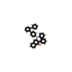 c1ccc(-c2ccccc2-c2ccc(N(c3ccccc3)c3cc4ccccc4c4oc5ccccc5c34)cc2)cc1